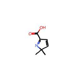 CC1(C)C=CC(C(=O)O)=N1